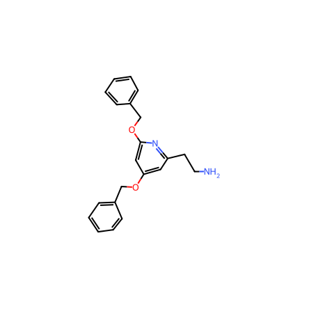 NCCc1cc(OCc2ccccc2)cc(OCc2ccccc2)n1